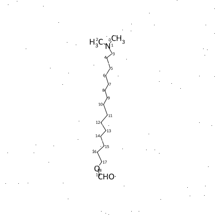 CN(C)CCCCCCCCCCCCCCCO[C]=O